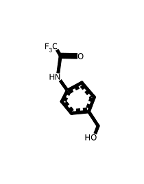 O=C(Nc1ccc(CO)cc1)C(F)(F)F